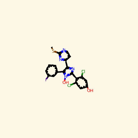 CSc1nccc(-c2nc(-c3c(Cl)cc(O)cc3Cl)n(O)c2-c2cccc(I)c2)n1